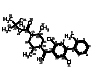 Cc1ccccc1-c1nc(Cl)c(C(=N)N2C[C@@H](C)N(C(=O)OC(C)(C)C)C[C@@H]2C)cc1Cl